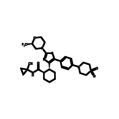 N#CC1(NC(=O)[C@@H]2CCCC[C@H]2c2nc(N3CCO[C@H](C(F)(F)F)C3)sc2-c2ccc(N3CCS(=O)(=O)CC3)cc2)CC1